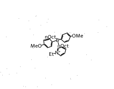 CCCCCCCC[B-](CCCCCCCC)(c1ccc(OC)cc1)c1ccc(OC)cc1.CC[n+]1ccccc1